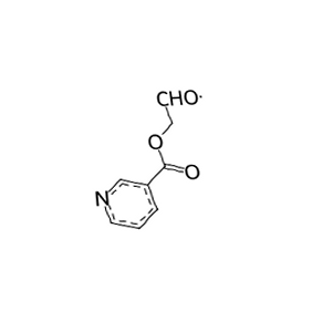 O=[C]COC(=O)c1cccnc1